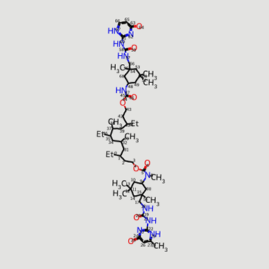 CCC(CCOC(=O)N(C)C1CC(C)(C)CC(C)(CNC(=O)Nc2nc(=O)cc(C)[nH]2)C1)CC(C)CC(CC)C(C)CC(CC)CCOC(=O)NC1CC(C)(C)CC(C)(CNC(=O)Nc2nc(=O)cc[nH]2)C1